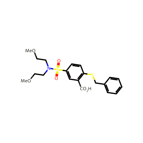 COCCN(CCOC)S(=O)(=O)c1ccc(SCc2ccccc2)c(C(=O)O)c1